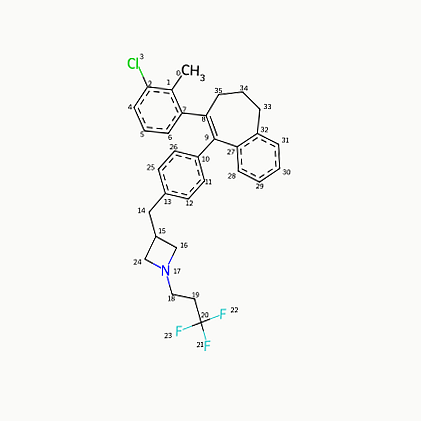 Cc1c(Cl)cccc1C1=C(c2ccc(CC3CN(CCC(F)(F)F)C3)cc2)c2ccccc2CCC1